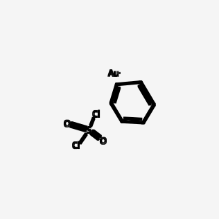 O=S(=O)(Cl)Cl.[Au].c1ccccc1